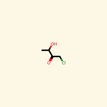 CC(O)C(=O)CCl